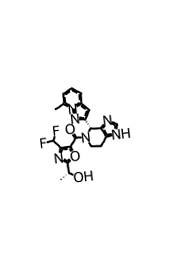 Cc1cccc2cc([C@@H]3c4nc[nH]c4CCN3C(=O)c3oc([C@@H](C)O)nc3C(F)F)nn12